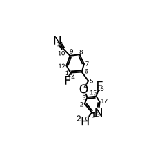 [2H]c1cc(OCc2ccc(C#N)cc2F)c(F)cn1